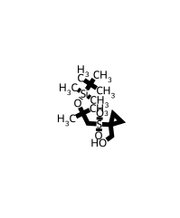 CC(C)(CS(=O)(=O)C1(CO)CC1)O[Si](C)(C)C(C)(C)C